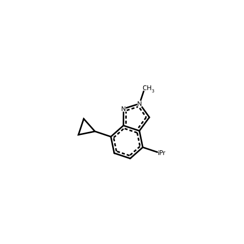 CC(C)c1ccc(C2CC2)c2nn(C)cc12